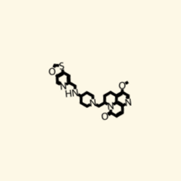 COc1cnc2ccc(=O)n3c2c1CCC3CN1CCC(NCc2cc3c(cn2)OCS3)CC1